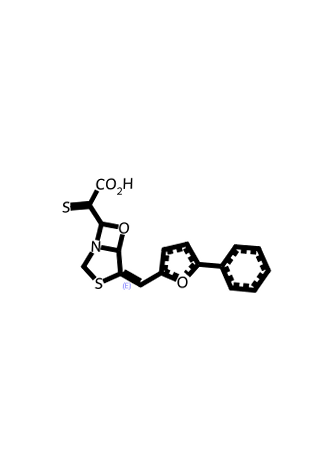 O=C(O)C(=S)C1OC2/C(=C\c3ccc(-c4ccccc4)o3)SCN12